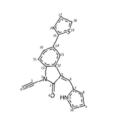 C#CN1C(=O)/C(=C\c2ccc[nH]2)c2cc(-c3cccs3)ccc21